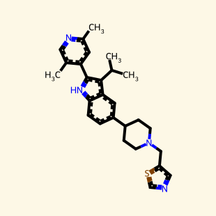 Cc1cc(-c2[nH]c3ccc(C4CCN(Cc5cncs5)CC4)cc3c2C(C)C)c(C)cn1